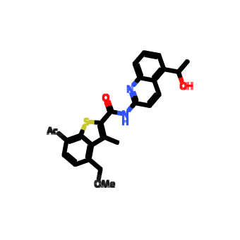 COCc1ccc(C(C)=O)c2sc(C(=O)Nc3ccc4c(C(C)O)cccc4n3)c(C)c12